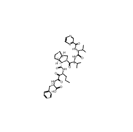 CCCC(NC(=O)[C@@H]1[C@H]2CCC[C@H]2CN1C(=O)[C@@H](NC(=O)[C@@H](NC(=O)c1cnccn1)C(C)C)C(C)C)C(=O)C(=O)N[C@H](Cc1ccccc1)C(=O)O